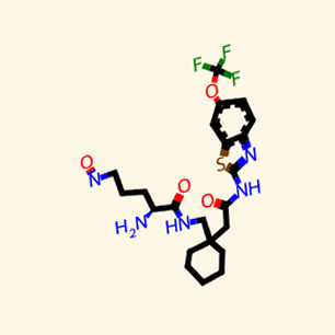 N[C@@H](CCCN=O)C(=O)NCC1(CC(=O)Nc2nc3ccc(OC(F)(F)F)cc3s2)CCCCC1